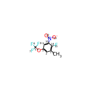 Cc1cc(OC(F)(F)F)cc([N+](=O)[O-])c1F